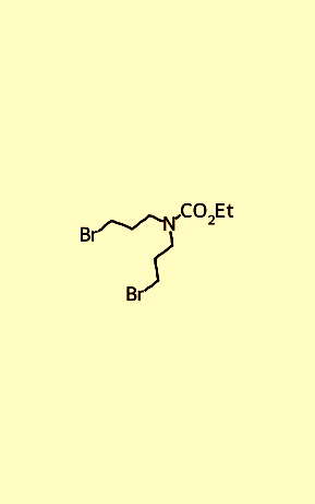 CCOC(=O)N(CCCBr)CCCBr